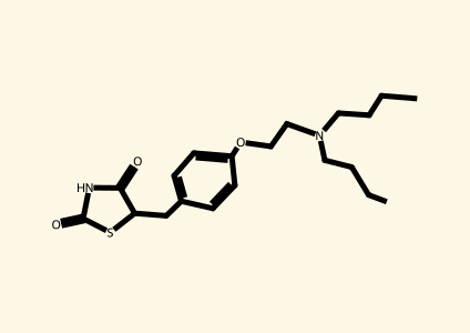 CCCCN(CCCC)CCOc1ccc(CC2SC(=O)NC2=O)cc1